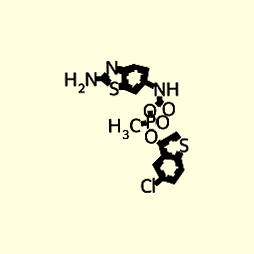 CP(=O)(OC(=O)Nc1ccc2nc(N)sc2c1)Oc1csc2ccc(Cl)cc12